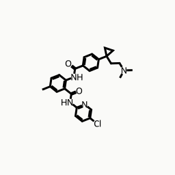 Cc1ccc(NC(=O)c2ccc(C3(CCN(C)C)CC3)cc2)c(C(=O)Nc2ccc(Cl)cn2)c1